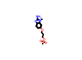 Cn1c(N)nc2ccc(OCCCOS(C)(=O)=O)cc21